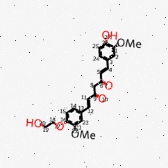 COc1cc(C=CC(=O)CC(=O)C=Cc2ccc(OCCO)c(OC)c2)ccc1O